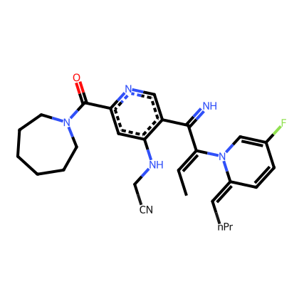 C/C=C(/C(=N)c1cnc(C(=O)N2CCCCCC2)cc1NCC#N)N1C=C(F)C=C/C1=C\CCC